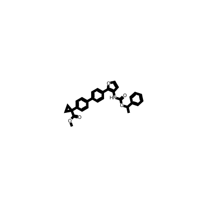 COC(=O)C1(c2ccc(-c3ccc(-c4occc4NC(=O)OC(C)c4ccccc4)cc3)cc2)CC1